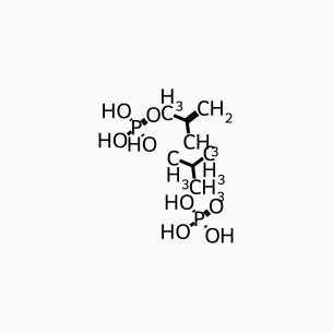 C=C(C)C.CC(C)C.O=P(O)(O)O.O=P(O)(O)O